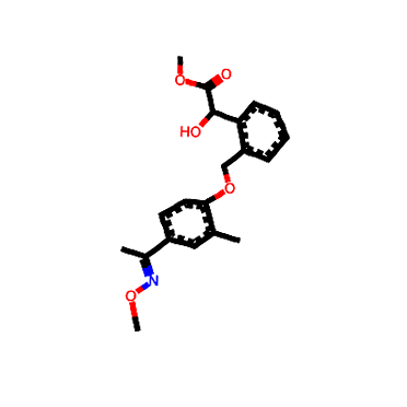 CON=C(C)c1ccc(OCc2ccccc2C(O)C(=O)OC)c(C)c1